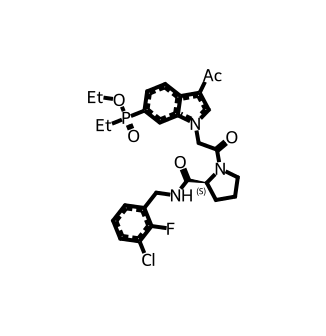 CCOP(=O)(CC)c1ccc2c(C(C)=O)cn(CC(=O)N3CCC[C@H]3C(=O)NCc3cccc(Cl)c3F)c2c1